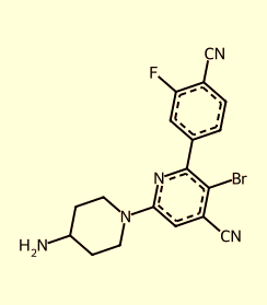 N#Cc1ccc(-c2nc(N3CCC(N)CC3)cc(C#N)c2Br)cc1F